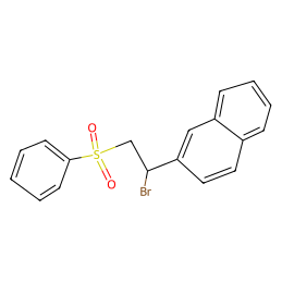 O=S(=O)(CC(Br)c1ccc2ccccc2c1)c1ccccc1